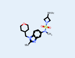 CC(=O)NC1CN(S(=O)(=O)N(C)c2ccc3c(c2)nc(C(C)(C)C)n3CC2CCOCC2)C1